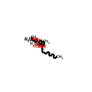 CC/C=C\C/C=C\C/C=C\C/C=C\C/C=C\C/C=C\CCC(=O)O[C@@H]1C(=O)C=C(C)[C@@H]2C[C@H]3OC(=O)C(CC(=O)CC(O)(C(C)C)C(C)C)C4[C@@H](C)[C@@H](O)[C@@]5(O)OC[C@@]43C5[C@@]12C